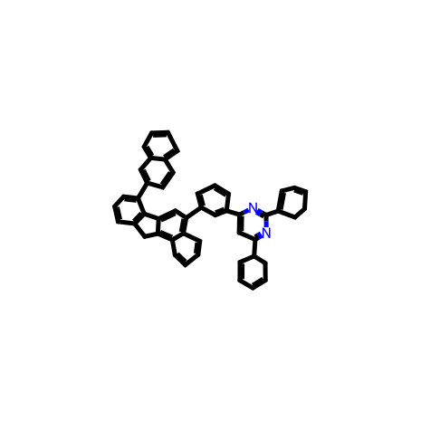 C1=CCCC(c2nc(-c3cccc(-c4cc5c(c6ccccc46)Cc4cccc(-c6ccc7ccccc7c6)c4-5)c3)cc(C3C=CC=CC3)n2)=C1